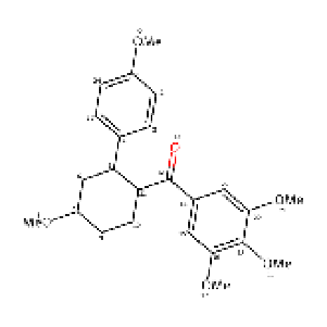 COc1ccc(C2CC(OC)CCC2C(=O)c2cc(OC)c(OC)c(OC)c2)cc1